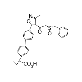 Cc1noc(-c2ccc(-c3ccc(C4(C(=O)O)CC4)cc3)cc2)c1C(=O)C[S+]([O-])Cc1ccccc1